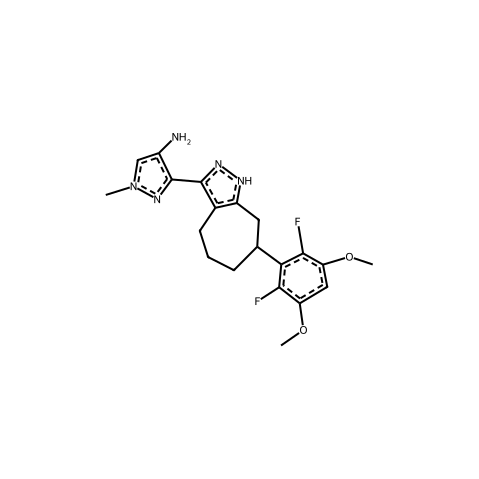 COc1cc(OC)c(F)c(C2CCCc3c(-c4nn(C)cc4N)n[nH]c3C2)c1F